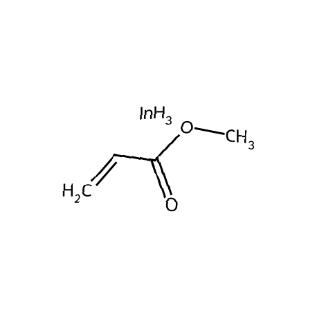 C=CC(=O)OC.[InH3]